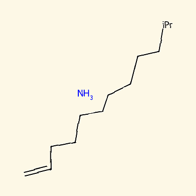 C=CCCCCCCCCC(C)C.N